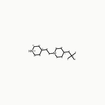 CC(C)(C)CC1CCN(CCC2CCNCC2)CC1